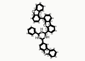 c1ccc(C2NC(c3ccc4sc5ccccc5c4c3)NC(c3cccc4c3oc3c(-c5cccc6oc7ccccc7c56)cccc34)N2)cc1